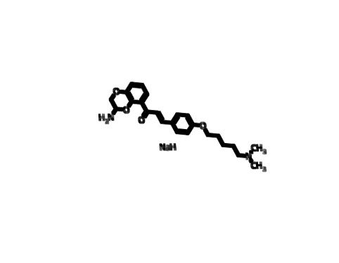 CN(C)CCCCCOc1ccc(C=CC(=O)c2cccc3c2OC(N)CO3)cc1.[NaH]